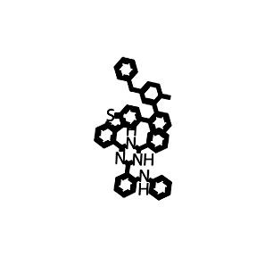 CC1CC=C(Cc2ccccc2)C=C1c1ccccc1-c1ccc2sc3cccc(C4=NC(c5ccccc5Nc5ccccc5)NC(c5ccccc5)N4)c3c2c1